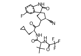 CC(C)(C)[C@H](NC(=O)C(F)(F)F)C(=O)N[C@@H](CC1CC1)C(=O)CC1C[C@]2(C[C@H]1C#N)C(=O)Nc1ccc(F)cc12